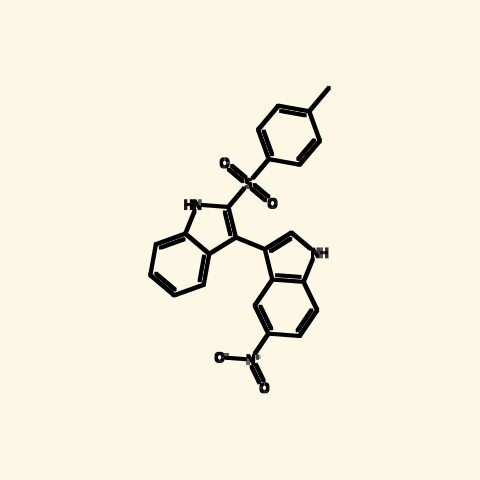 Cc1ccc(S(=O)(=O)c2[nH]c3ccccc3c2-c2c[nH]c3ccc([N+](=O)[O-])cc23)cc1